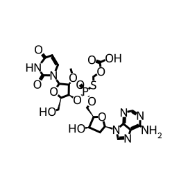 CO[C@@H]1C(n2ccc(=O)[nH]c2=O)O[C@H](CO)[C@@H]1O[P@](=O)(OC[C@H]1O[C@@H](n2cnc3c(N)ncnc32)C[C@H]1O)SCOC(=O)O